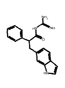 N=C(N)NC(=O)C(Cc1ccc2cc[nH]c2c1)c1ccccc1